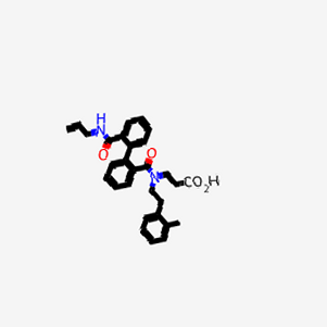 C=CCNC(=O)c1ccccc1-c1ccccc1C(=O)N(CCC(=O)O)CCc1ccccc1C